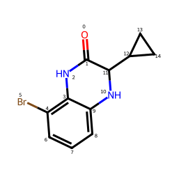 O=C1Nc2c(Br)cccc2NC1C1CC1